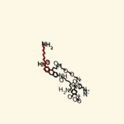 CN(CCOCCOCCN(C)C(=O)[C@@H]1CC(N=[N+]=[N-])CN1C(=O)c1ccc2c(=O)oc(=O)n(C)c2c1)C(=O)CCC12c3cc(NC(=O)CCCCCCCN)ccc3C(c3ccc(NC(=O)CCCCCCCN)cc31)c1ccc(NC(=O)CCCCCCCN)cc12